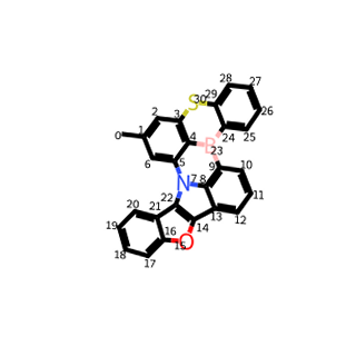 Cc1cc2c3c(c1)-n1c4c(cccc4c4oc5ccccc5c41)B3c1ccccc1S2